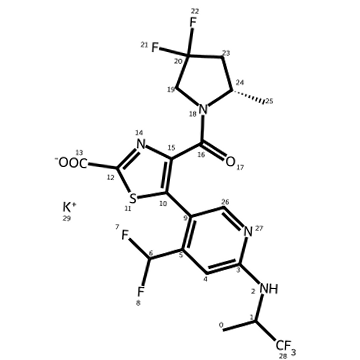 CC(Nc1cc(C(F)F)c(-c2sc(C(=O)[O-])nc2C(=O)N2CC(F)(F)C[C@@H]2C)cn1)C(F)(F)F.[K+]